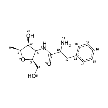 C[C@@H]1O[C@H](CO)C(NC(=O)C(N)Cc2ccccc2)[C@@H]1O